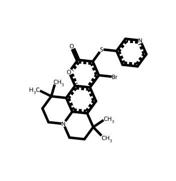 CC1(C)CCN2CCC(C)(C)c3c2c1cc1c(Br)c(Sc2cccnc2)c(=O)oc31